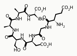 CC[C@H](C)[C@H](NC(=O)[C@H](C)NC(=O)[C@H](C)NC(=O)[C@H](CO)NC(=O)[C@H](CC(=O)O)NC(=O)CNC(=O)[C@@H](N)CCC(=O)O)C(=O)O